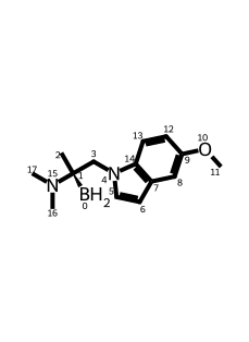 B[C@@](C)(Cn1ccc2cc(OC)ccc21)N(C)C